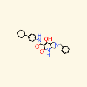 O=C(Nc1ccc(C2CCCCC2)cc1)C1=C(O)C2CN(Cc3ccccc3)CC2NC1=O